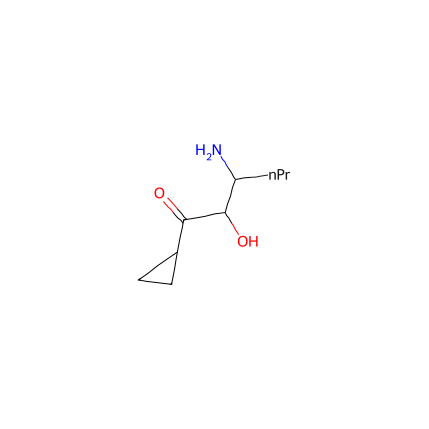 CCCC(N)C(O)C(=O)C1CC1